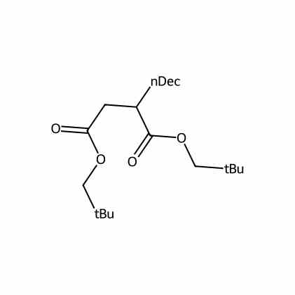 CCCCCCCCCCC(CC(=O)OCC(C)(C)C)C(=O)OCC(C)(C)C